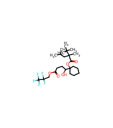 CC(C)CC(C)(C(=O)OC1(C(O)CCC(=O)OCC(F)(F)C(F)(F)F)CCCCC1)C(C)(C)C